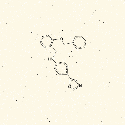 c1ccc(COc2ccccc2CNc2ccc(-c3cnco3)cc2)cc1